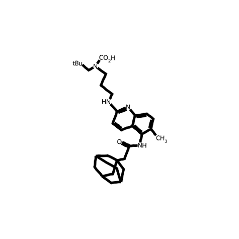 Cc1ccc2nc(NCCCN(CC(C)(C)C)C(=O)O)ccc2c1NC(=O)CC12CC3CC(CC(C3)C1)C2